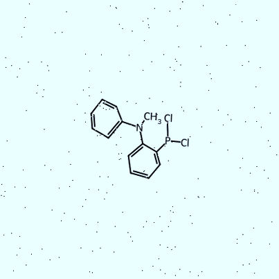 CN(c1ccccc1)c1ccccc1P(Cl)Cl